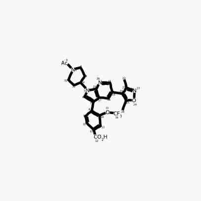 CC(=O)N1CCC(n2cc(-c3ccc(C(=O)O)cc3OC(F)(F)F)c3cc(-c4c(C)noc4C)cnc32)CC1